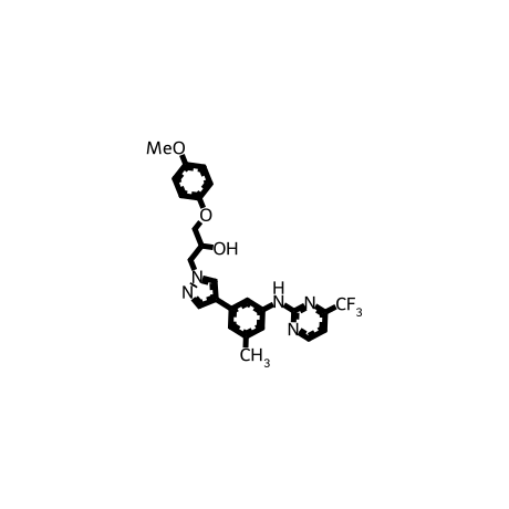 COc1ccc(OCC(O)Cn2cc(-c3cc(C)cc(Nc4nccc(C(F)(F)F)n4)c3)cn2)cc1